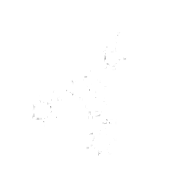 Cc1ccc(C(C)(C)N2CCC(CCc3ccc(F)s3)(C(C)(C)OC(=O)Nc3ccccc3)C2)cn1